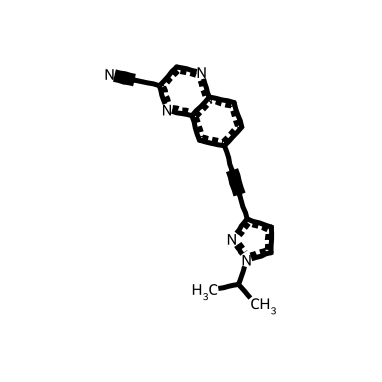 CC(C)n1ccc(C#Cc2ccc3ncc(C#N)nc3c2)n1